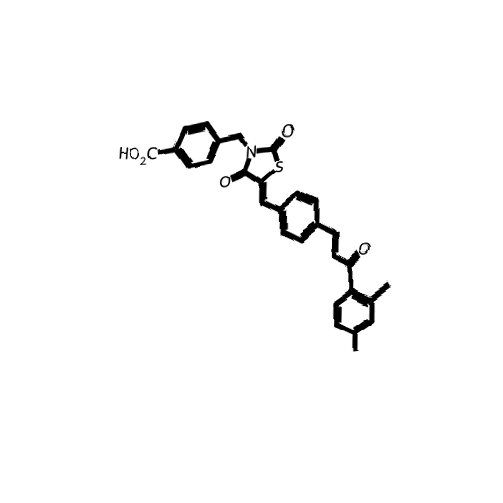 Cc1ccc(C(=O)/C=C/c2ccc(/C=C3\SC(=O)N(Cc4ccc(C(=O)O)cc4)C3=O)cc2)c(C)c1